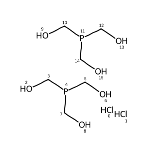 Cl.Cl.OCP(CO)CO.OCP(CO)CO